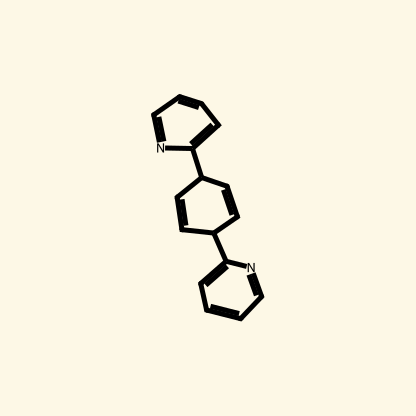 C1=CC(c2ccccn2)C=CC1c1ccccn1